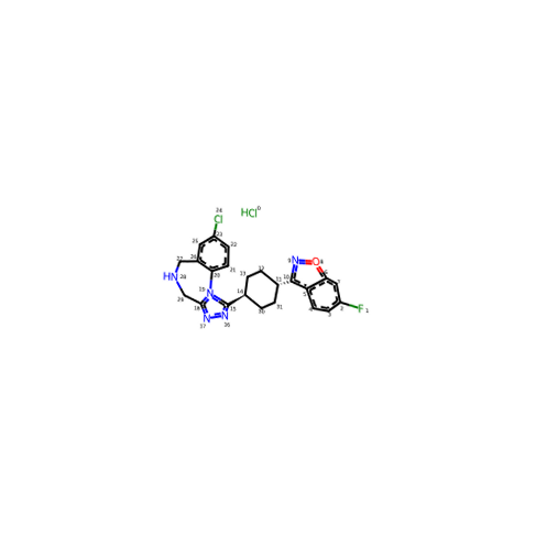 Cl.Fc1ccc2c(c1)onc2[C@H]1CC[C@H](c2nnc3n2-c2ccc(Cl)cc2CNC3)CC1